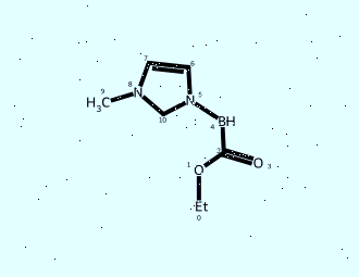 CCOC(=O)BN1C=CN(C)C1